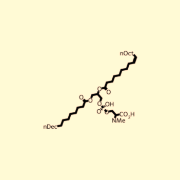 CCCCCCCC/C=C\CCCCCCCC(=O)OC(COC(=O)CCCCCCCCCCCCCCCCC)COP(=O)(O)OCC(NC)C(=O)O